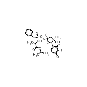 CC(C)OC(=O)C(C)NP(=O)(OC[C@]1(F)C[C@@](C)(O)[C@H](n2ccc(=O)[nH]c2=O)O1)Oc1ccccc1